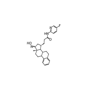 C[C@]12CCC3c4ccccc4CCC3C1[C@H](CCC(=O)Nc1ccc(F)cn1)C/C2=N\O